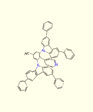 N#Cc1cc(-n2c3ccc(-c4ccccc4)cc3c3cc(-c4ccccc4)ccc32)c(-c2ccncc2)c(-n2c3ccc(-c4ccccc4)cc3c3cc(-c4ccccc4)ccc32)c1